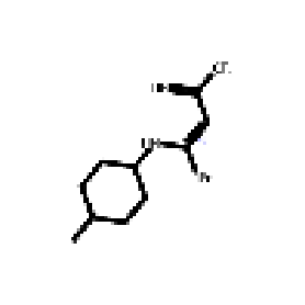 CC1CCC(N/C(=C\C(=N)C(F)(F)F)C(C)C)CC1